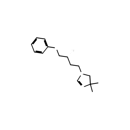 CC1(C)CN(CC[C@@H]([NH])CSc2ccccc2)C=N1